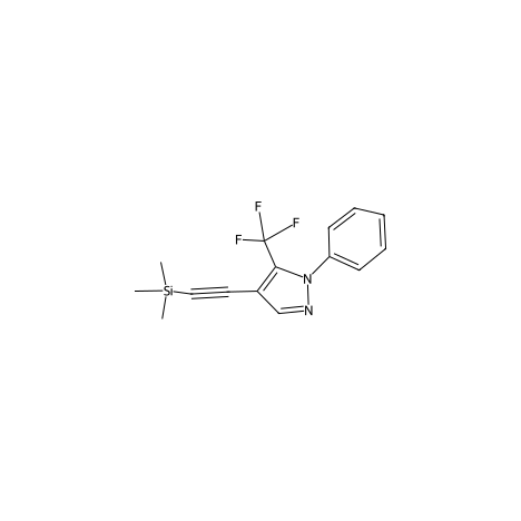 C[Si](C)(C)C#Cc1cnn(-c2ccccc2)c1C(F)(F)F